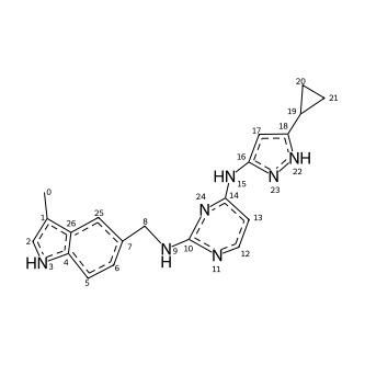 Cc1c[nH]c2ccc(CNc3nccc(Nc4cc(C5CC5)[nH]n4)n3)cc12